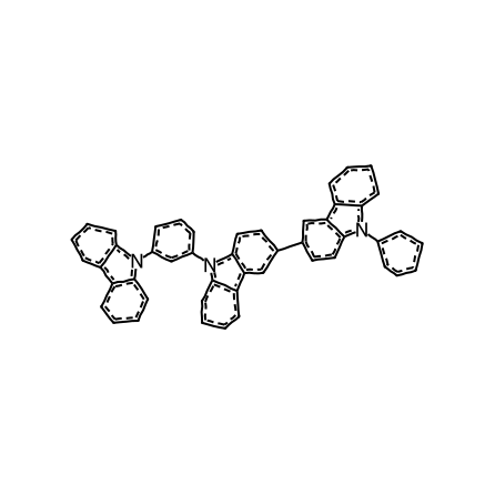 c1ccc(-n2c3ccccc3c3cc(-c4ccc5c(c4)c4ccccc4n5-c4cccc(-n5c6ccccc6c6ccccc65)c4)ccc32)cc1